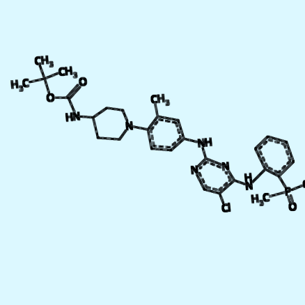 Cc1cc(Nc2ncc(Cl)c(Nc3ccccc3P(C)(C)=O)n2)ccc1N1CCC(NC(=O)OC(C)(C)C)CC1